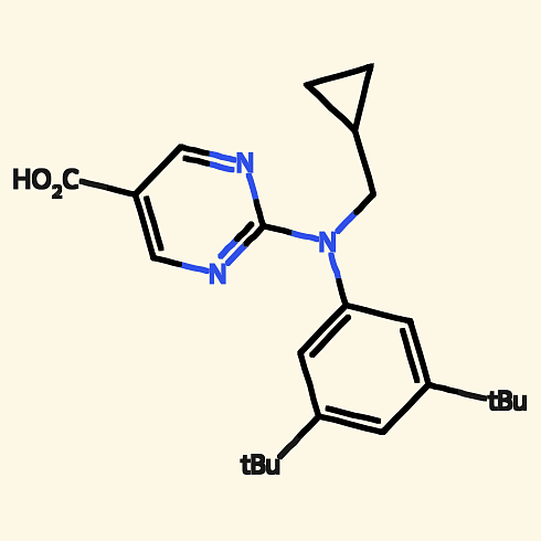 CC(C)(C)c1cc(N(CC2CC2)c2ncc(C(=O)O)cn2)cc(C(C)(C)C)c1